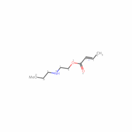 C/C=C/C(=O)OCCNCCOC